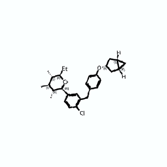 CC[C@H]1O[C@@H](c2ccc(Cl)c(Cc3ccc(O[C@@H]4C[C@@H]5C[C@@H]5C4)cc3)c2)[C@H](C)[C@@H](C)[C@@H]1C